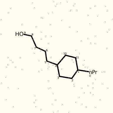 CCCC1CCC(CCCCO)CC1